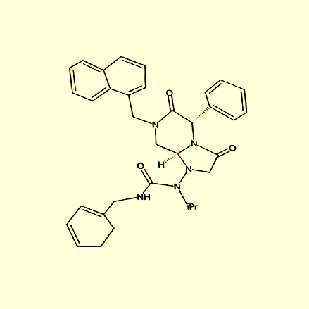 CC(C)N(C(=O)NCC1=CC=CCC1)N1CC(=O)N2[C@@H](c3ccccc3)C(=O)N(Cc3cccc4ccccc34)C[C@@H]21